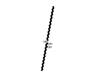 CCCCCCCCCCCCCCCCCCCCCCNC(O)CC(O)CCCCCCCCCCCCCCC